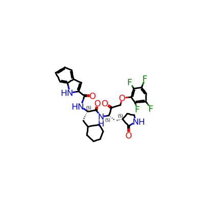 O=C(N[C@@H](CC1CCCCC1)C(=O)N[C@@H](C[C@@H]1CCNC1=O)C(=O)COc1c(F)c(F)cc(F)c1F)c1cc2ccccc2[nH]1